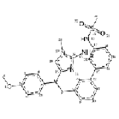 COc1ccc(C(Cc2cccc(-c3cccc(NS(C)(=O)=O)c3)c2)c2cn(C)c(N)n2)cc1